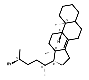 CC(C)[C@@H](C)CC[C@@H](C)[C@H]1CCC2=C3CCC4CCCC[C@]4(C)[C@H]3CC[C@@]21C